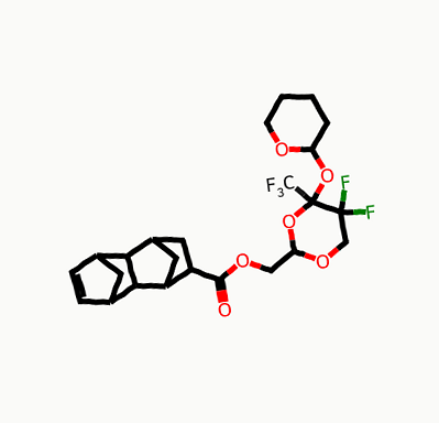 O=C(OCC1OCC(F)(F)C(OC2CCCCO2)(C(F)(F)F)O1)C1CC2CC1C1C3C=CC(C3)C21